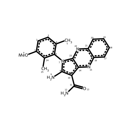 COc1ccc(C)c(-n2c(N)c(C(N)=O)c3nc4ccccc4nc32)c1C